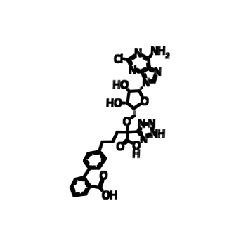 Nc1nc(Cl)nc2c1ncn2[C@@H]1O[C@H](COC(CCCc2ccc(-c3ccccc3C(=O)O)cc2)(C(=O)O)c2nn[nH]n2)[C@@H](O)[C@H]1O